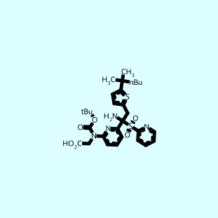 CCCCC(C)(C)c1ccc(CC(N)(c2cccc(N(CC(=O)O)C(=O)OC(C)(C)C)n2)S(=O)(=O)c2ccccn2)s1